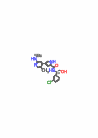 CC[C@H](C)Nc1cc(-c2c[nH]c(C(=O)N[C@H](CO)C3C=C(Cl)C=CC3)c2)c(C)cn1